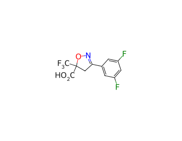 O=C(O)C1(C(F)(F)F)CC(c2cc(F)cc(F)c2)=NO1